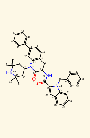 CC1(C)CC(NC(=O)C(Cc2ccc(-c3ccccc3)cc2)NC(=O)c2cc3ccccc3n2Cc2ccccc2)CC(C)(C)N1